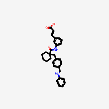 O=C(O)/C=C/c1cccc(NC(=O)C2(Cc3ccc(CNc4ccccc4)cc3)CCCCC2)c1